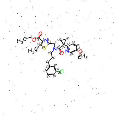 CCOC(=O)c1nc(CN(CCCc2cccc(Cl)c2)C(=O)C2(c3ccc(OC)cn3)CC2)sc1C